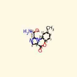 Cc1ccc2oc(=O)c3cnc(C(N)=O)n3c2c1